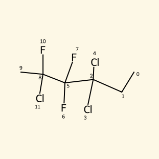 CCC(Cl)(Cl)C(F)(F)C(C)(F)Cl